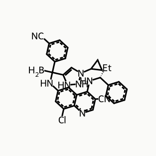 BC(Nc1cc(Cl)c2ncc(C#N)c(N[C@H](CC)c3ccccc3)c2c1)(C1=CN(C2CC2)NN1)c1cccc(C#N)c1